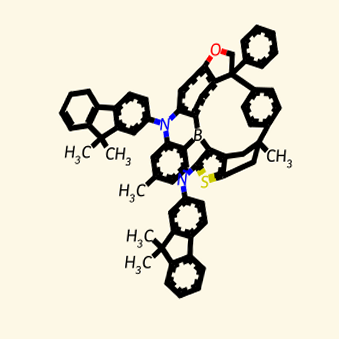 Cc1cc2c3c(c1)N(c1ccc4c(c1)C(C)(C)c1ccccc1-4)c1sc4c5c1B3c1cc3c(cc1N2c1ccc2c(c1)C(C)(C)C1=C2CCC=C1)OCC3(c1ccccc1)c1ccc(cc1)C(C)(C4)C5